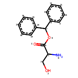 NC(CO)C(=O)OC(c1ccccc1)c1ccccc1